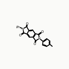 Cc1ccc(-n2c(=O)c3cc4c(=O)n(C(C)C)c(=O)c4cc3c2=O)cc1